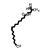 C#CCCCCCC/C=C\CCCCCCCC(=O)NCCC1(C)NN1